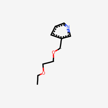 CCOCCO[CH]c1cccnc1